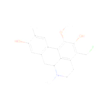 COc1c(O)c(CF)c2c3c1-c1cc(C)c(O)cc1CC3N(C)CC2